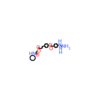 N=C(N)Nc1ccc(C(=O)Oc2ccc(C=CC(=O)OCC(=O)NC3CCCCCCC3)cc2)cc1